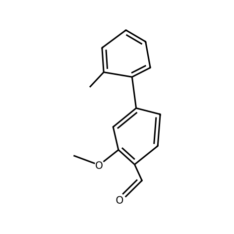 COc1cc(-c2ccccc2C)ccc1C=O